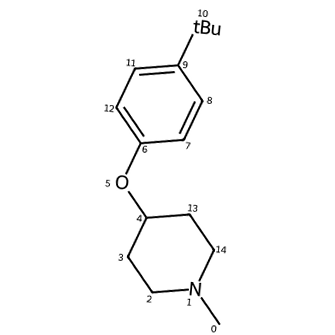 CN1CCC(Oc2ccc(C(C)(C)C)cc2)CC1